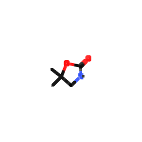 CC1(C)C[N]C(=O)O1